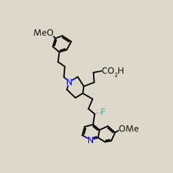 COc1cccc(CCCN2CCC(CC[C@H](F)c3ccnc4ccc(OC)cc34)C(CCC(=O)O)C2)c1